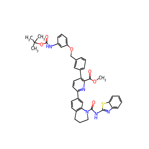 COC(=O)c1nc(-c2ccc3c(c2)N(C(=O)Nc2nc4ccccc4s2)CCC3)ccc1-c1cccc(COc2cccc(NC(=O)OC(C)(C)C)c2)c1